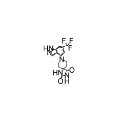 O=C1NC(=O)C2(CCN(c3cc(C(F)(F)F)cc4[nH]ncc34)CC2)N1